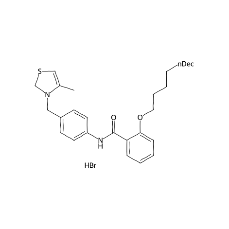 Br.CCCCCCCCCCCCCCOc1ccccc1C(=O)Nc1ccc(CN2CSC=C2C)cc1